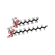 CCCCCCCCCCCCCCCC[Si](OC)(OC)OC.CCCCCCCCCC[Si](OC)(OC)OC